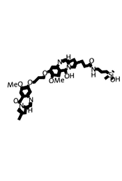 COc1cc2c(cc1OCCCOc1cc3c(cc1OC)C(O)N1C=C(CCC(=O)NCCC[Si](C)(C)O)C[C@H]1C=N3)N=C[C@@H]1CC(C)=CN1C2=O